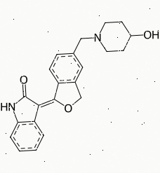 O=C1Nc2ccccc2C1=C1OCc2cc(CN3CCC(O)CC3)ccc21